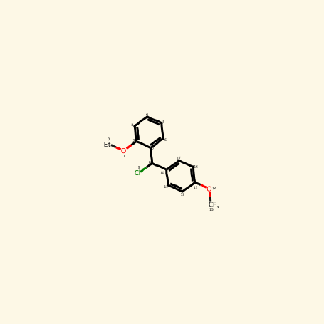 CCOc1ccccc1C(Cl)c1ccc(OC(F)(F)F)cc1